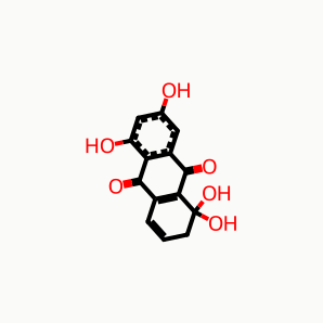 O=C1C2=C(C=CCC2(O)O)C(=O)c2c(O)cc(O)cc21